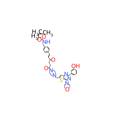 CC(C)(C)OC(=O)NCc1ccc(C=CC(=O)CCC(=O)N2CCN(Cc3cc4nc(-c5cccc(O)c5)nc(N5CCOCC5)c4s3)CC2)cc1